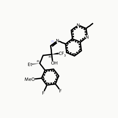 CC[C@H](C[C@@](O)(/C=N\c1cccc2nc(C)ncc12)C(F)(F)F)c1ccc(F)c(F)c1OC